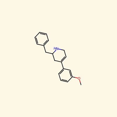 COc1cccc(C2=CCNC(Cc3ccccc3)C2)c1